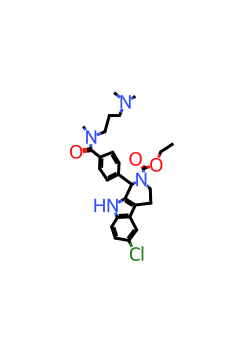 CCOC(=O)N1CCc2c([nH]c3ccc(Cl)cc23)C1c1ccc(C(=O)N(C)CCCN(C)C)cc1